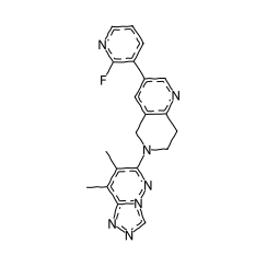 Cc1c(N2CCc3ncc(-c4cccnc4F)cc3C2)nn2cnnc2c1C